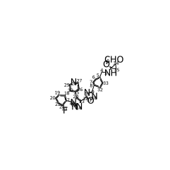 O=COC1(NCc2ccc(-c3noc(-c4nnn(-c5ccccc5F)c4-c4ccncc4)n3)cc2)CC1